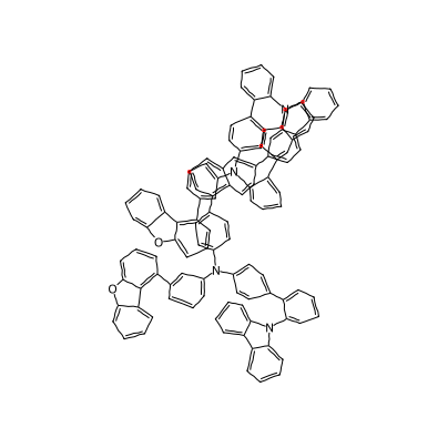 c1cc(-c2cccc3oc4ccccc4c23)cc(N(c2ccc(-c3ccccc3-n3c4ccccc4c4ccccc43)cc2)c2ccc(-c3cccc4cc(-c5ccc6c7ccccc7n(-c7ccccc7-c7ccc(N(c8cccc(-c9cccc%10oc%11ccccc%11c9%10)c8)c8ccccc8-c8ccc9ccccc9c8)cc7)c6c5)ccc34)cc2)c1